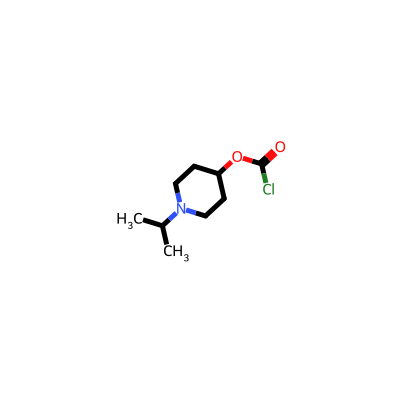 CC(C)N1CCC(OC(=O)Cl)CC1